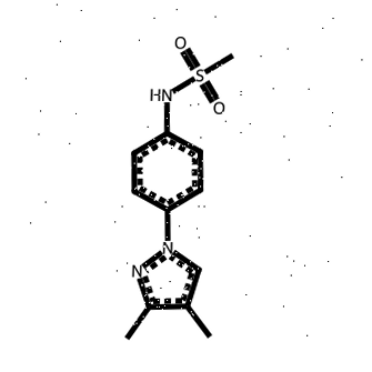 Cc1cn(-c2ccc(NS(C)(=O)=O)cc2)nc1C